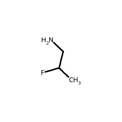 C[C](F)CN